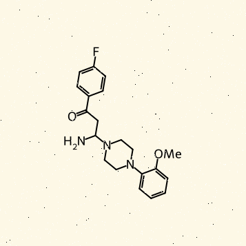 COc1ccccc1N1CCN(C(N)CC(=O)c2ccc(F)cc2)CC1